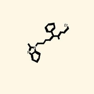 CC\C=C/C=C(C)/C(=C/CCCn1c(C)nc2ccccc21)c1ccccc1